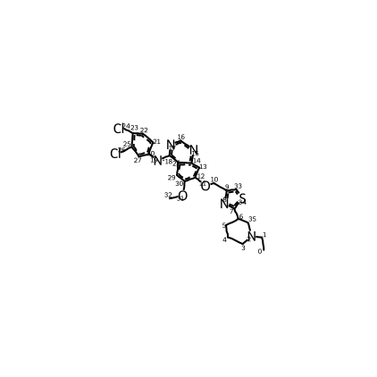 CCN1CCCC(c2nc(COc3cc4ncnc([N]c5ccc(Cl)c(Cl)c5)c4cc3OC)cs2)C1